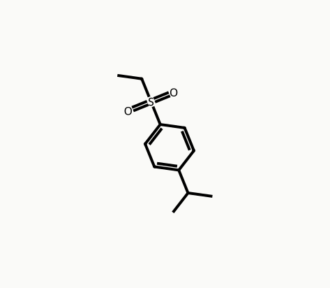 CCS(=O)(=O)c1ccc(C(C)C)cc1